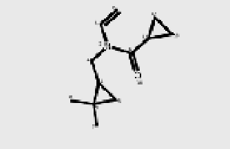 C=CN(CC1CC1(C)C)C(=O)C1CC1